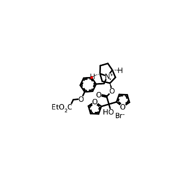 CCOC(=O)COc1cccc(C[N@+]2(C)[C@@H]3CC[C@H]2C[C@@H](OC(=O)C(O)(c2ccco2)c2ccco2)C3)c1.[Br-]